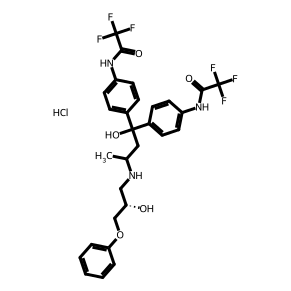 CC(CC(O)(c1ccc(NC(=O)C(F)(F)F)cc1)c1ccc(NC(=O)C(F)(F)F)cc1)NC[C@H](O)COc1ccccc1.Cl